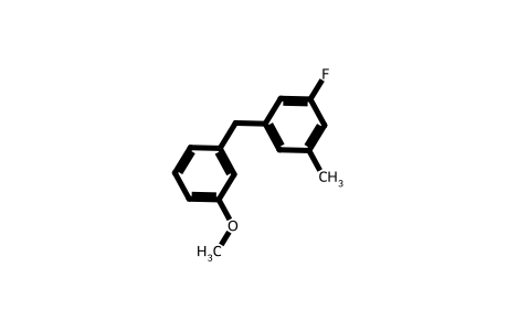 COc1cccc(Cc2cc(C)cc(F)c2)c1